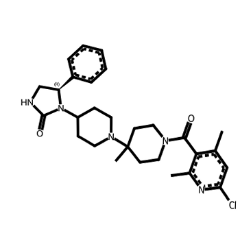 Cc1cc(Cl)nc(C)c1C(=O)N1CCC(C)(N2CCC(N3C(=O)NC[C@H]3c3ccccc3)CC2)CC1